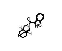 O=C(c1nsc2ccccc12)N1C[C@H]2CN3C=C1[C@@H]2CC3